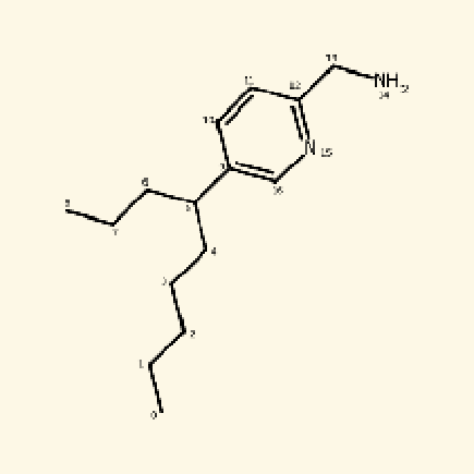 CCCCCC(CCC)c1ccc(CN)nc1